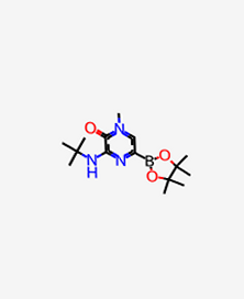 Cn1cc(B2OC(C)(C)C(C)(C)O2)nc(NC(C)(C)C)c1=O